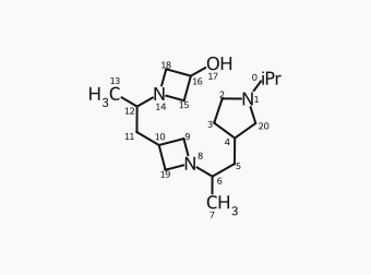 CC(C)N1CCC(CC(C)N2CC(CC(C)N3CC(O)C3)C2)C1